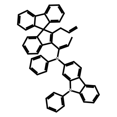 C=CCC1=C(/C(=C\C)N(c2ccccc2)c2ccc3c4ccccc4n(-c4ccccc4)c3c2)c2ccccc2C12c1ccccc1-c1ccccc12